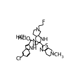 CN1CCc2nc(C(=O)NC3CN(CCF)CCC3NC(=O)c3cc4cc(Cl)ccc4[nH]3)sc2C1.Cl.Cl